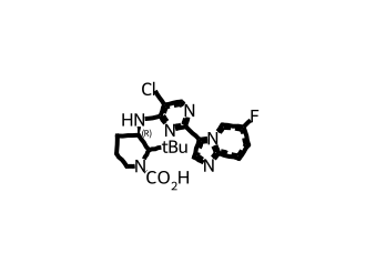 CC(C)(C)C1[C@H](Nc2nc(-c3cnc4ccc(F)cn34)ncc2Cl)CCCN1C(=O)O